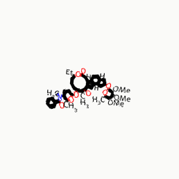 CC[C@H]1CCC[C@H](O[C@H]2CC[C@H](N(C)C(=O)c3ccccc3)C(C)O2)[C@@H](C)C(=O)C2=C[C@@H]3[C@@H](C=C[C@@H]4C[C@@H](OC5OC(C)C(OC)C(OC)C5OC)C[C@@H]34)[C@@H]2CC(=O)O1